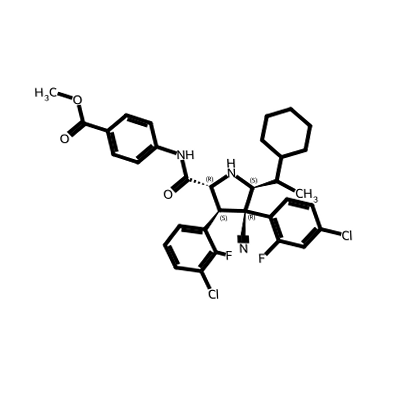 COC(=O)c1ccc(NC(=O)[C@@H]2N[C@@H](C(C)C3CCCCC3)[C@](C#N)(c3ccc(Cl)cc3F)[C@H]2c2cccc(Cl)c2F)cc1